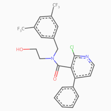 O=C(c1c(-c2ccccc2)ccnc1Cl)N(CCO)Cc1cc(C(F)(F)F)cc(C(F)(F)F)c1